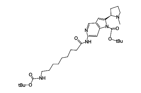 CN1CCC[C@@H]1c1cc2cnc(NC(=O)CCCCCCCCNC(=O)OC(C)(C)C)cc2n1C(=O)OC(C)(C)C